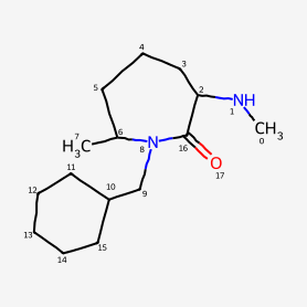 CNC1CCCC(C)N(CC2CCCCC2)C1=O